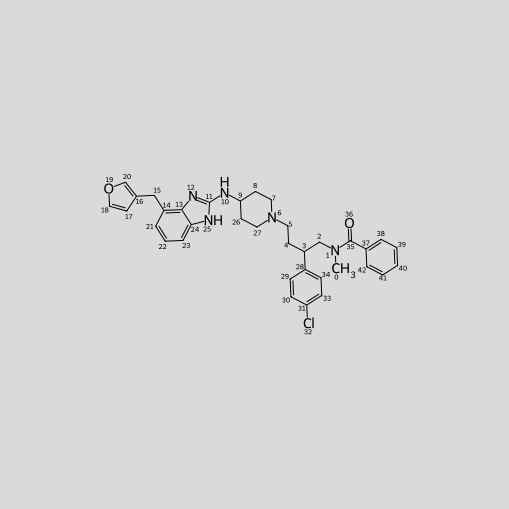 CN(CC(CCN1CCC(Nc2nc3c(Cc4ccoc4)cccc3[nH]2)CC1)c1ccc(Cl)cc1)C(=O)c1ccccc1